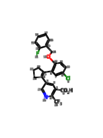 O=C(O)c1cc(C2=C(c3cc(Cl)ccc3OCc3ccccc3F)CCC2)cnc1C(F)(F)F